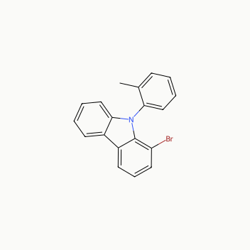 Cc1ccccc1-n1c2ccccc2c2cccc(Br)c21